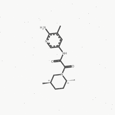 Cc1cc(NC(=O)C(=O)N2C[C@H](C)CC[C@H]2C)cnc1N